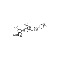 CNc1nc(C)cc(N2CCc3c(c(C)nn3CC34CCC(N5CCS(=O)(=O)CC5)(CC3)CC4)C2)c1C=N